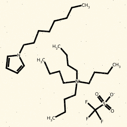 CCCCCCCCn1cccc1.CCCC[N+](CCCC)(CCCC)CCCC.O=S(=O)([O-])C(F)(F)F